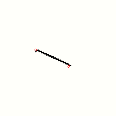 C(CCCCCCCCCCCCC1CO1)CCCCCCCCCCCCC1CO1